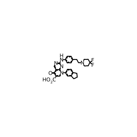 O=C(O)c1cn(-c2ccc3c(c2)CCC3)c2nc(Nc3ccc(CCN4CCC(F)(F)CC4)cc3)ncc2c1=O